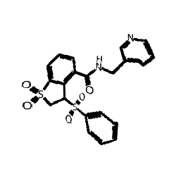 O=C(NCc1cccnc1)c1cccc2c1C(S(=O)(=O)c1ccccc1)CS2(=O)=O